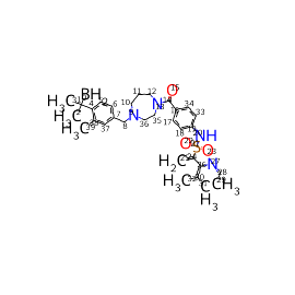 BC(C)(C)c1ccc(CN2CCCN(C(=O)c3ccc(NS(=O)(=O)C(=C)C(/N=C\C)=C(C)C)cc3)CC2)cc1C